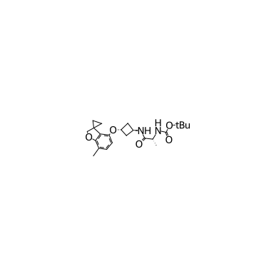 Cc1ccc(O[C@H]2C[C@H](NC(=O)[C@@H](C)NC(=O)OC(C)(C)C)C2)c2c1OCC21CC1